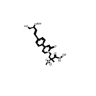 COC(C=Cc1ccc(-c2ccn(CCC(C)(C(=O)NO)S(C)(=O)=O)c(=O)c2)cc1)CO